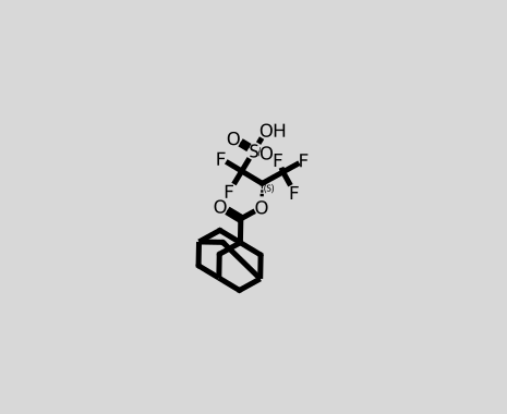 O=C(O[C@@H](C(F)(F)F)C(F)(F)S(=O)(=O)O)C12CC3CC(CC(C3)C1)C2